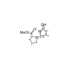 COC(=O)C1CCCN1c1cccc(O)n1